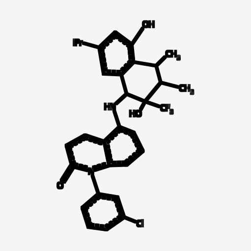 CC(C)c1cc(O)c2c(c1)C(Nc1cccc3c1ccc(=O)n3-c1cccc(Cl)c1)C(O)(C(F)(F)F)C(C)C2C